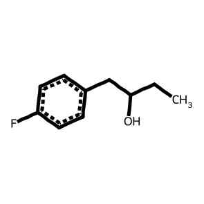 CCC(O)Cc1ccc(F)cc1